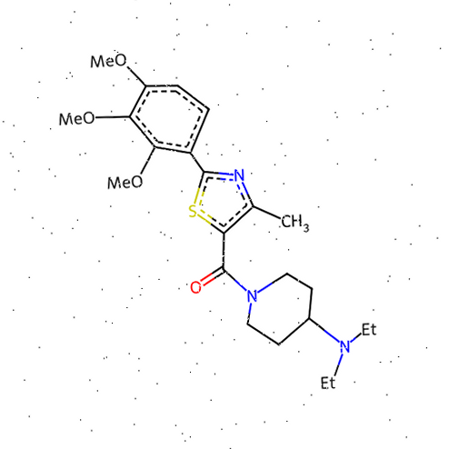 CCN(CC)C1CCN(C(=O)c2sc(-c3ccc(OC)c(OC)c3OC)nc2C)CC1